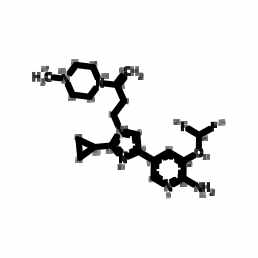 C=C(CCn1cc(-c2cnc(N)c(OC(F)F)c2)nc1C1CC1)N1CCN(C)CC1